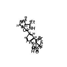 CCC(NC(=O)c1ccc2sc(C(F)(F)[PH](=O)O)c(Br)c2c1)c1ncnn1C